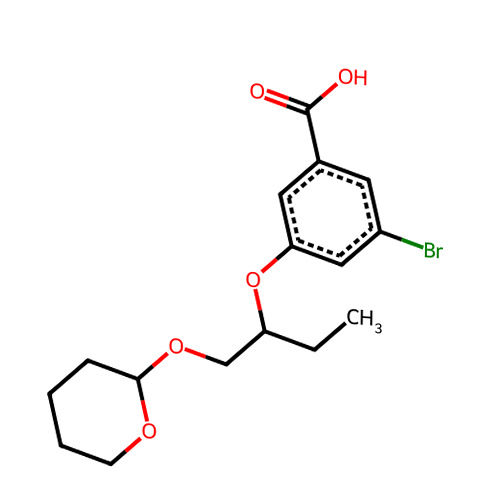 CCC(COC1CCCCO1)Oc1cc(Br)cc(C(=O)O)c1